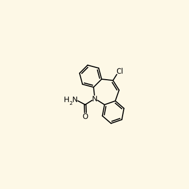 NC(=O)N1c2ccccc2C=C(Cl)c2ccccc21